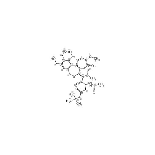 COc1ccc2c(cc1=O)[C@@H](N(C(C)=O)C(=O)[C@H](CC(=O)OC(C)(C)C)NC(C)=O)CCc1cc(CO)c(CO)c(CO)c1-2